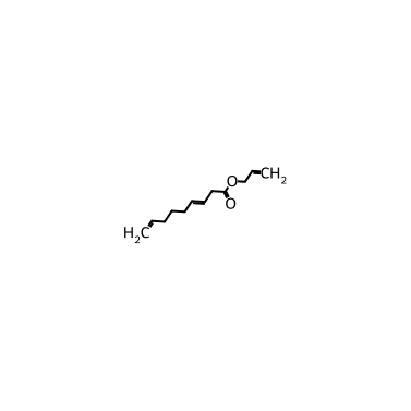 C=CCCCC=CCC(=O)OCC=C